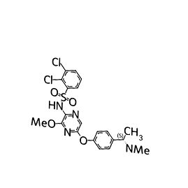 CN[C@@H](C)c1ccc(Oc2cnc(NS(=O)(=O)c3cccc(Cl)c3Cl)c(OC)n2)cc1